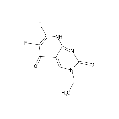 CCn1cc2c(=O)c(F)c(F)[nH]c2nc1=O